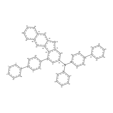 c1ccc(-c2ccc(-c3cc(N(c4ccccc4)c4ccc(-c5ccccc5)cc4)cc4oc5cc6ccccc6cc5c34)cc2)cc1